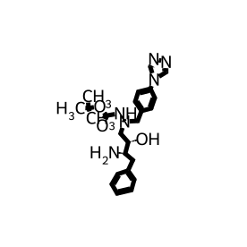 CC(C)(C)OC(=O)NN(Cc1ccc(-n2cnnc2)cc1)C[C@H](O)[C@@H](N)Cc1ccccc1